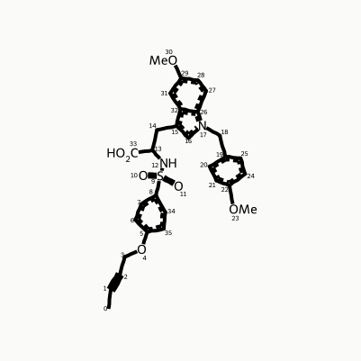 CC#CCOc1ccc(S(=O)(=O)NC(Cc2cn(Cc3ccc(OC)cc3)c3ccc(OC)cc23)C(=O)O)cc1